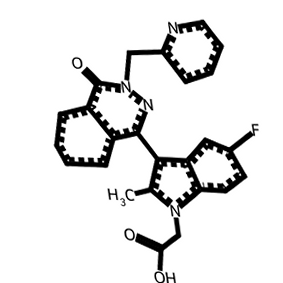 Cc1c(-c2nn(Cc3ccccn3)c(=O)c3ccccc23)c2cc(F)ccc2n1CC(=O)O